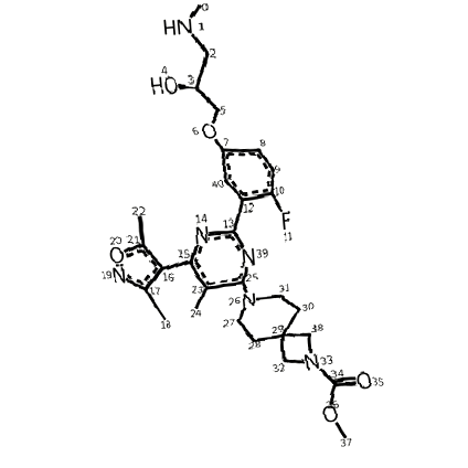 CNC[C@H](O)COc1ccc(F)c(-c2nc(-c3c(C)noc3C)c(C)c(N3CCC4(CC3)CN(C(=O)OC)C4)n2)c1